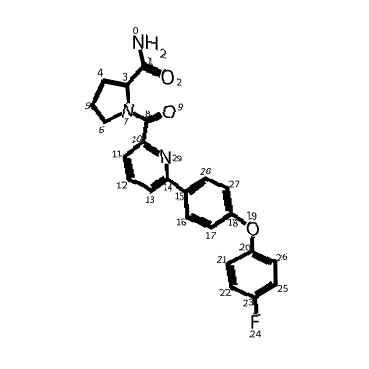 NC(=O)C1CCCN1C(=O)c1cccc(-c2ccc(Oc3ccc(F)cc3)cc2)n1